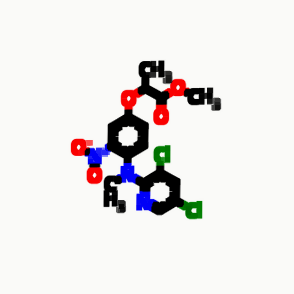 COC(=O)C(C)Oc1ccc(N(C)c2ncc(Cl)cc2Cl)c([N+](=O)[O-])c1